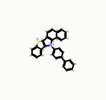 c1ccc(-c2ccc(-n3c4c5ccccc5ccc4c4sc5ccccc5c43)cc2)cc1